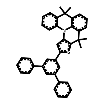 CC1(C)c2ccccc2N2c3cc(-c4cc(-c5ccccc5)cc(-c5ccccc5)c4)sc3C(C)(C)c3cccc1c32